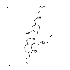 COCCNCc1ccnc(Nc2cc3ccn(CCO)c(=O)c3c(NC(C)(C)C)n2)c1